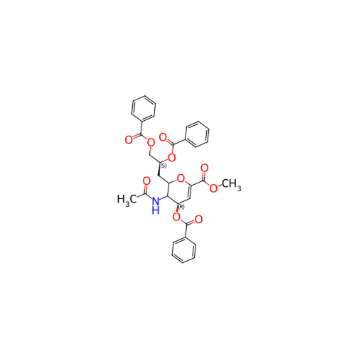 COC(=O)C1=C[C@@H](OC(=O)c2ccccc2)C(NC(C)=O)C(C[C@@H](COC(=O)c2ccccc2)OC(=O)c2ccccc2)O1